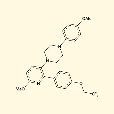 COc1ccc(N2CCN(c3ccc(OC)nc3-c3ccc(OCC(F)(F)F)cc3)CC2)cc1